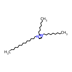 CCCCCCCCCCCCCC[n+]1ccn(CCCCCCCCC)c1CCCCCCC